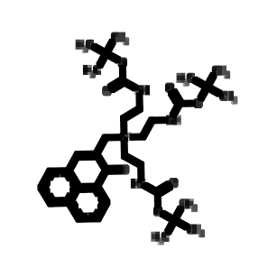 CC(C)(C)OC(=O)NCC[N+](CCNC(=O)OC(C)(C)C)(CCNC(=O)OC(C)(C)C)CC1=Cc2cccc3cccc(c23)C1=O